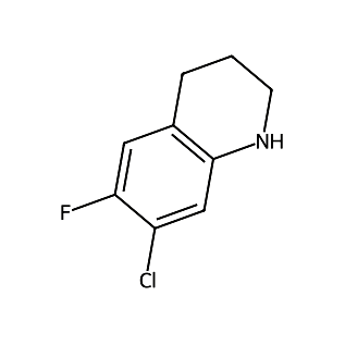 Fc1cc2c(cc1Cl)NCCC2